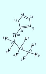 FC(F)(F)C(F)(F)[C](F)(F)[Tl][C]1=CC=CC1